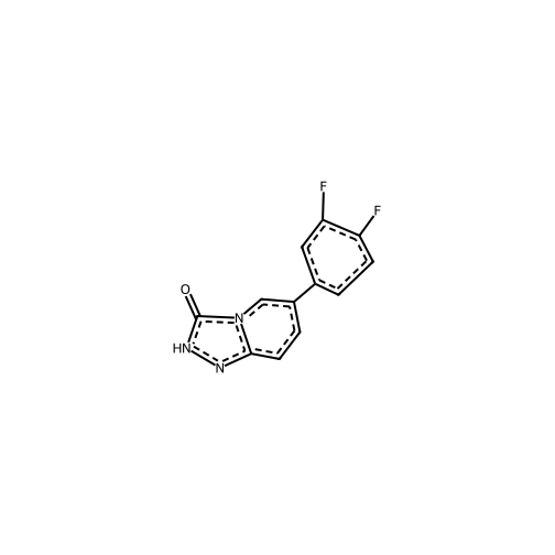 O=c1[nH]nc2ccc(-c3ccc(F)c(F)c3)cn12